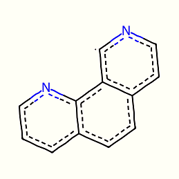 [c]1nccc2ccc3cccnc3c12